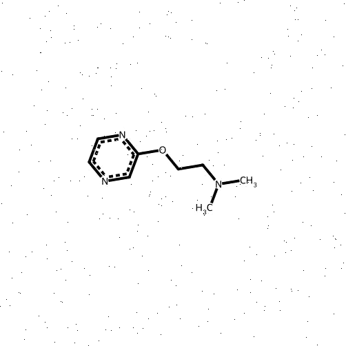 CN(C)CCOc1cnccn1